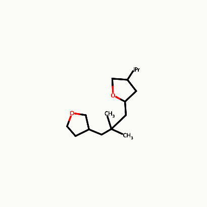 CC(C)C1COC(CC(C)(C)CC2CCOC2)C1